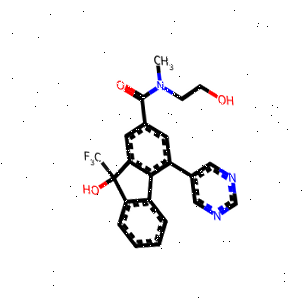 CN(CCO)C(=O)c1cc(-c2cncnc2)c2c(c1)C(O)(C(F)(F)F)c1ccccc1-2